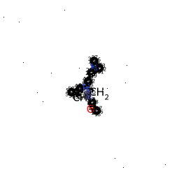 C=C/C(=C\C=C\c1ccc2c(c1)oc1ccccc12)N(c1ccc(-c2ccc3c(c2)c2cccc4c5ccccc5n3c42)cc1)c1ccc2c(c1)C(C)(C)c1ccccc1-2